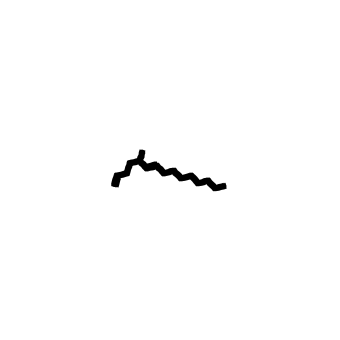 C=CCCC(C)C=CCCCCCCCC